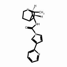 C[C@H]1[C@H](NC(=O)n2ccc(-c3ccccn3)c2)C2CCN1CC2